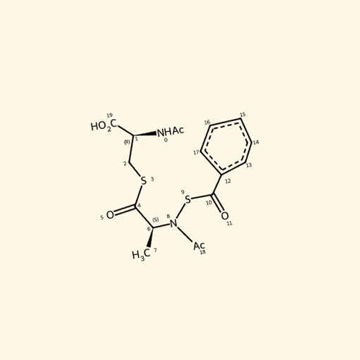 CC(=O)N[C@@H](CSC(=O)[C@H](C)N(SC(=O)c1ccccc1)C(C)=O)C(=O)O